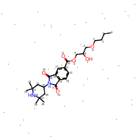 CCCCOCC(O)COC(=O)c1ccc2c(c1)C(=O)N(C1CC(C)(C)NC(C)(C)C1)C2=O